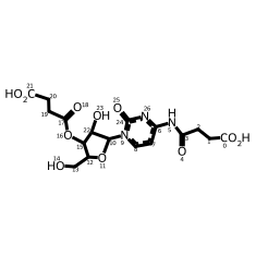 O=C(O)CCC(=O)Nc1ccn(C2OC(CO)C(OC(=O)CCC(=O)O)C2O)c(=O)n1